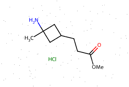 COC(=O)CCC1CC(C)(N)C1.Cl